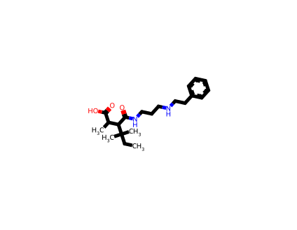 CCC(C)(C)C(C(=O)NCCCNCCc1ccccc1)C(C)C(=O)O